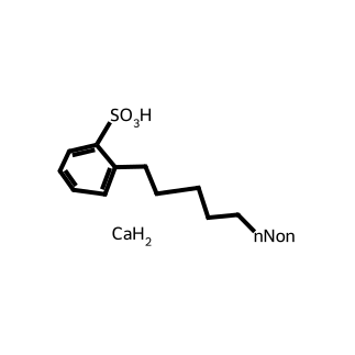 CCCCCCCCCCCCCCc1ccccc1S(=O)(=O)O.[CaH2]